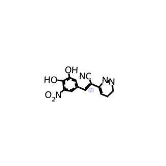 N#C/C(=C\c1cc(O)c(O)c([N+](=O)[O-])c1)C1=CCCN=N1